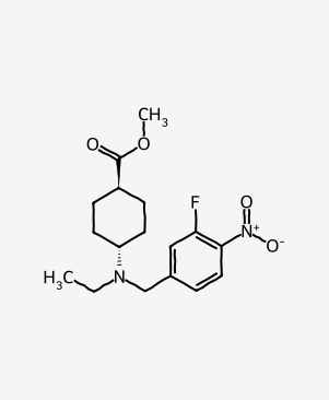 CCN(Cc1ccc([N+](=O)[O-])c(F)c1)[C@H]1CC[C@H](C(=O)OC)CC1